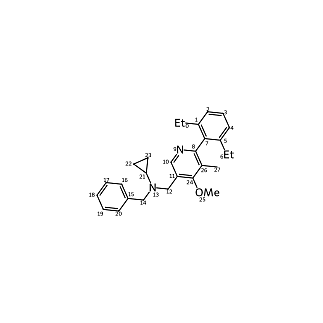 CCc1cccc(CC)c1-c1ncc(CN(Cc2ccccc2)C2CC2)c(OC)c1C